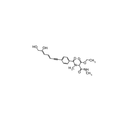 CCOC(=O)C(C(=O)NC)N(C)C(=O)c1ccc(C#C/C=C/C=C(\O)CO)cc1